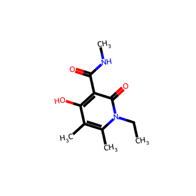 CCn1c(C)c(C)c(O)c(C(=O)NC)c1=O